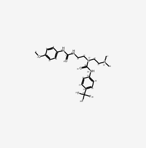 COc1ccc(NC(=O)NCCN(CCN(C)C)C(=O)Nc2ccc(C(F)(F)F)cc2)cc1